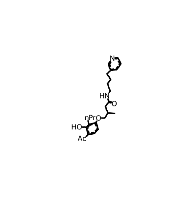 CCCc1c(OCC(C)CC(=O)NCCCCc2cccnc2)ccc(C(C)=O)c1O